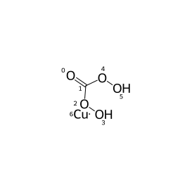 O=C(OO)OO.[Cu]